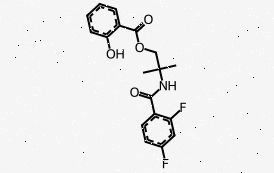 CC(C)(COC(=O)c1ccccc1O)NC(=O)c1ccc(F)cc1F